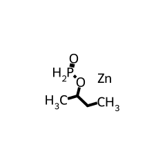 CCC(C)O[PH2]=O.[Zn]